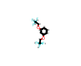 FC(F)(F)COc1[c]c(OCC(F)(F)F)ccc1